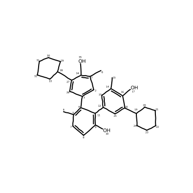 Cc1cc(-c2c(C)ccc(O)c2-c2cc(C)c(O)c(C3CCCCC3)c2)cc(C2CCCCC2)c1O